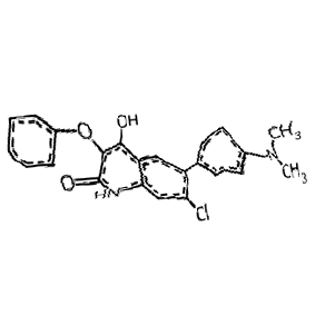 CN(C)c1ccc(-c2cc3c(O)c(Oc4ccccc4)c(=O)[nH]c3cc2Cl)cc1